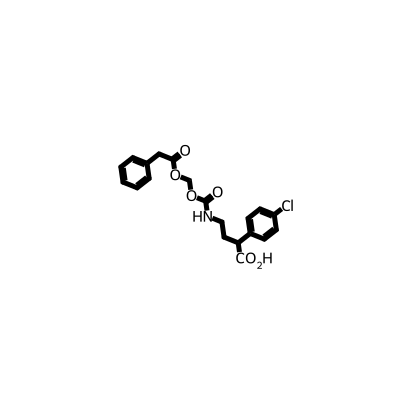 O=C(Cc1ccccc1)OCOC(=O)NCCC(C(=O)O)c1ccc(Cl)cc1